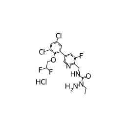 CCN(N)C(=O)NCc1ncc(-c2cc(Cl)cc(Cl)c2OCC(F)F)cc1F.Cl